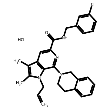 C=CCn1c(C)c(C)c2cc(C(=O)NCc3cccc(Cl)c3)nc(N3CCc4ccccc4C3)c21.Cl